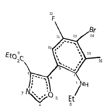 CCNc1c(-c2ocnc2C(=O)OCC)cc(F)c(Br)c1C